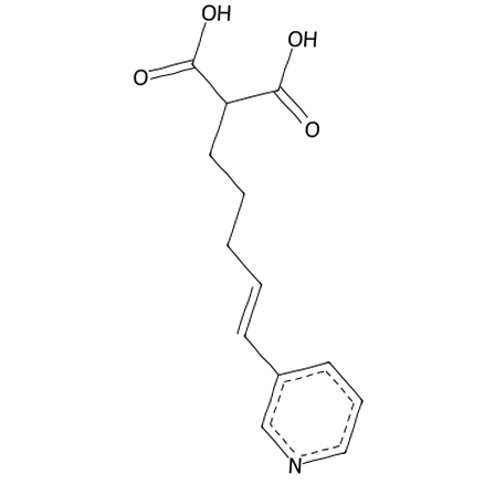 O=C(O)C(CCC/C=C/c1cccnc1)C(=O)O